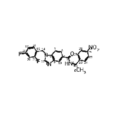 C[C@H](NC(=O)c1ccc2c(c1)ncn2Cc1ccc(F)cc1F)c1ccc([N+](=O)[O-])cc1